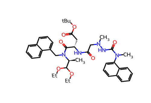 CCOC(OCC)[C@H](C)N(Cc1cccc2ccccc12)C(=O)[C@H](CC(=O)OC(C)(C)C)NC(=O)CN(C)NC(=O)N(C)c1cccc2ccccc12